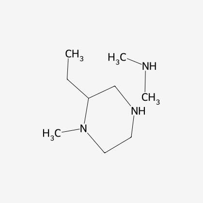 CCC1CNCCN1C.CNC